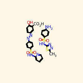 Cc1nnc(NS(=O)(=O)c2ccc(N)cc2)s1.O=C(O)c1cc(N=Nc2ccc(S(=O)(=O)Nc3ccccn3)cc2)ccc1O